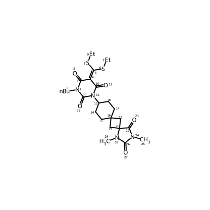 CCCCN1C(=O)C(=C(SCC)SCC)C(=O)N(C2CCC3(CC2)CC2(C3)C(=O)N(C)C(=O)N2C)C1=O